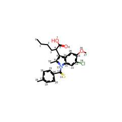 CCCCC(C(=O)O)c1c(C)n(C(=S)c2ccc(C)cc2)c2cc(Cl)c(OC)cc12